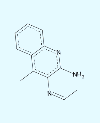 C/C=N\c1c(N)nc2ccccc2c1C